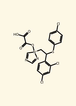 O=C(O)C(=O)O[N+]1(CC(Sc2ccc(Cl)cc2)c2ccc(Cl)cc2Cl)C=NC=N1